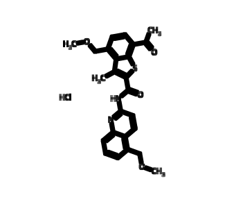 COCc1cccc2nc(NC(=O)c3sc4c(C(C)=O)ccc(COC)c4c3C)ccc12.Cl